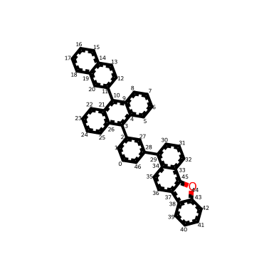 c1cc(-c2c3ccccc3c(-c3ccc4ccccc4c3)c3ccccc23)cc(-c2cccc3c2ccc2c4ccccc4oc32)c1